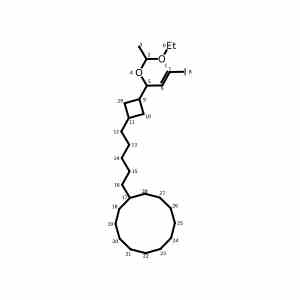 CCOC(C)OC(C=CI)C1CC(CCCCCC2CCCCCCCCCCC2)C1